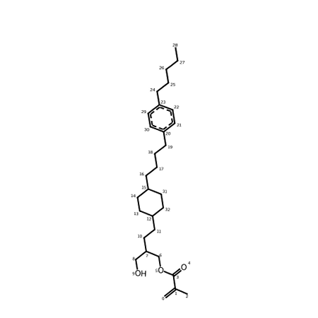 C=C(C)C(=O)OCC(CO)CCC1CCC(CCCCc2ccc(CCCCC)cc2)CC1